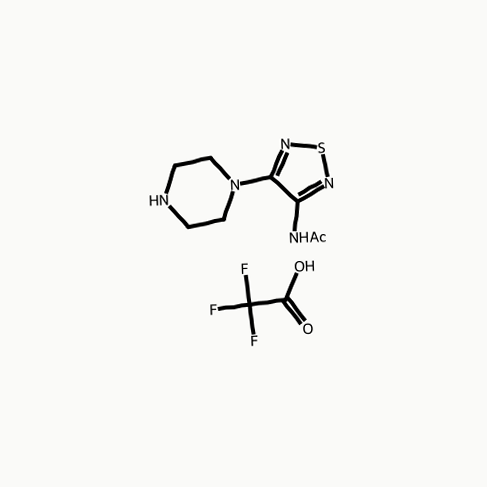 CC(=O)Nc1nsnc1N1CCNCC1.O=C(O)C(F)(F)F